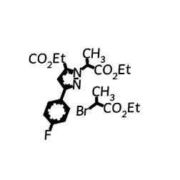 CCOC(=O)C(C)Br.CCOC(=O)c1cc(-c2ccc(F)cc2)nn1C(C)C(=O)OCC